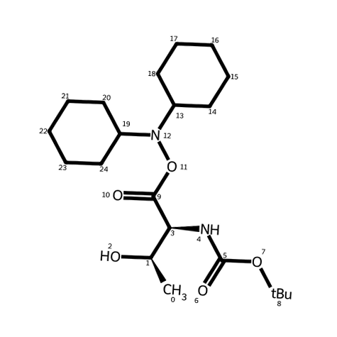 C[C@@H](O)[C@H](NC(=O)OC(C)(C)C)C(=O)ON(C1CCCCC1)C1CCCCC1